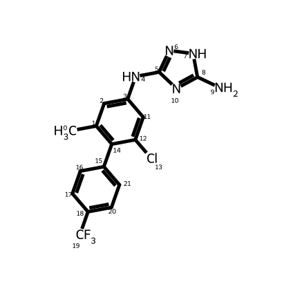 Cc1cc(Nc2n[nH]c(N)n2)cc(Cl)c1-c1ccc(C(F)(F)F)cc1